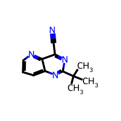 CC(C)(C)c1nc(C#N)c2ncccc2n1